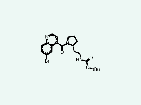 CC(C)(C)OC(=O)NCC[C@@H]1CCCN1C(=O)c1ccnc2ccc(Br)cc12